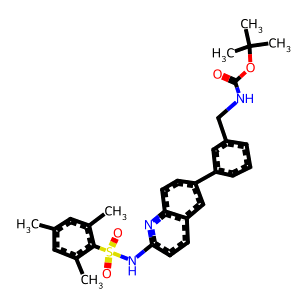 Cc1cc(C)c(S(=O)(=O)Nc2ccc3cc(-c4cccc(CNC(=O)OC(C)(C)C)c4)ccc3n2)c(C)c1